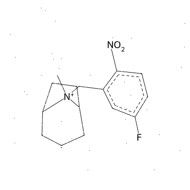 C[N+]1(Cc2cc(F)ccc2[N+](=O)[O-])C2C[CH]CC1CC2